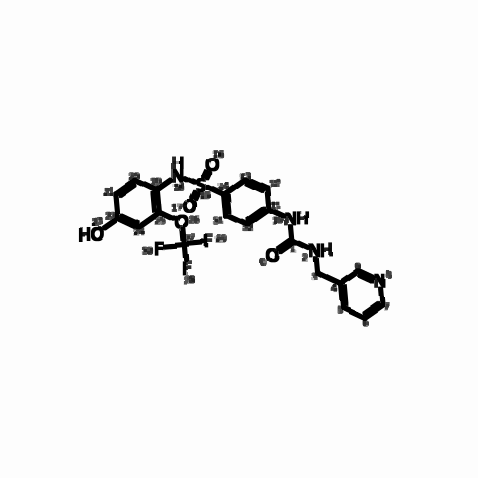 O=C(NCc1cccnc1)Nc1ccc(S(=O)(=O)Nc2ccc(O)cc2OC(F)(F)F)cc1